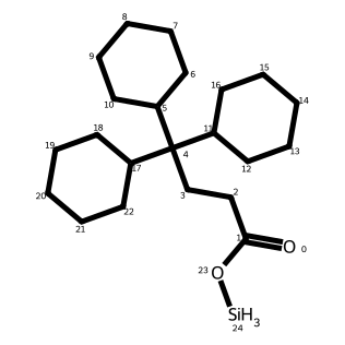 O=C(CCC(C1CCCCC1)(C1CCCCC1)C1CCCCC1)O[SiH3]